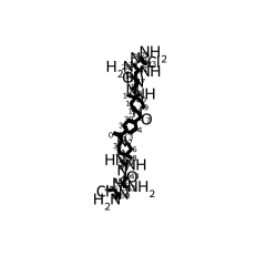 C=C(c1ccc(C(=O)N2CCC3(CC2)CN/C(=N\C(=O)C2NC(Cl)=C(N)N=C2N)N3)cc1)N1CCC2(CC1)CN/C(=N\C(=O)c1nc(Cl)c(N)nc1N)N2